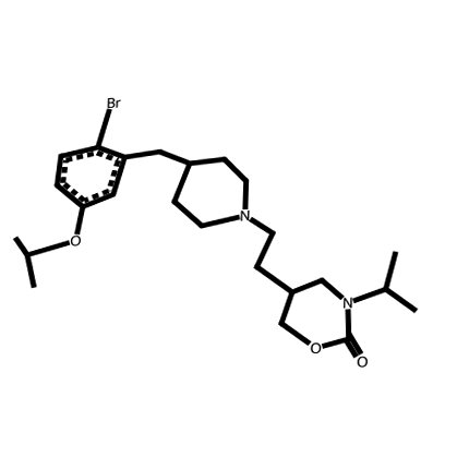 CC(C)Oc1ccc(Br)c(CC2CCN(CCC3COC(=O)N(C(C)C)C3)CC2)c1